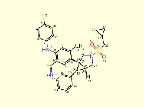 Cc1cc(Nc2ccc(F)cc2)c(C=N)cc1[C@@]12CN(S(=O)(=O)CC3CC3)C[C@@H]1[C@H]2c1ccccc1